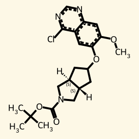 COc1cc2ncnc(Cl)c2cc1OC1C[C@@H]2CN(C(=O)OC(C)(C)C)C[C@H]2C1